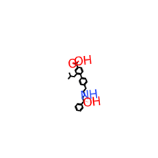 CC(C)Cc1cc(C(=O)O)ccc1-c1ccc(CCNC[C@H](O)c2ccccc2)cc1